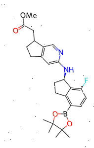 COC(=O)CC1CCc2cc(N[C@@H]3CCc4c(B5OC(C)(C)C(C)(C)O5)ccc(F)c43)ncc21